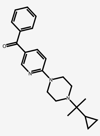 CC(C)(C1CC1)N1CCN(c2ccc(C(=O)c3ccccc3)cn2)CC1